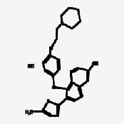 Cc1ccc(-c2ccc3cc(O)ccc3c2Oc2ccc(OCCN3CCCCC3)cc2)s1.Cl